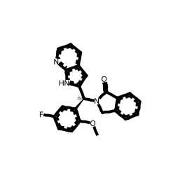 COc1ccc(F)cc1[C@@H](c1cc2cccnc2[nH]1)N1Cc2ccccc2C1=O